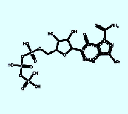 CCCc1nn(C(N)=S)c2c(=O)n(C3OC(COP(=O)(O)OP(=O)(O)OP(=O)(O)O)C(O)C3O)nnc12